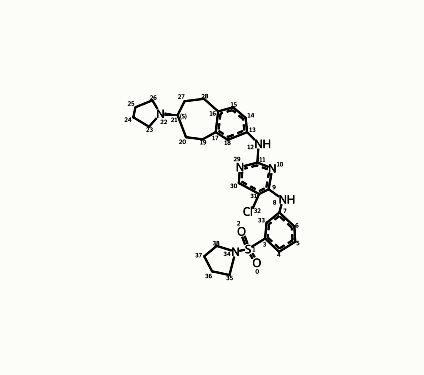 O=S(=O)(c1cccc(Nc2nc(Nc3ccc4c(c3)CC[C@@H](N3CCCC3)CC4)ncc2Cl)c1)N1CCCC1